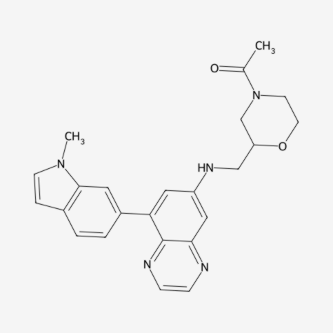 CC(=O)N1CCOC(CNc2cc(-c3ccc4ccn(C)c4c3)c3nccnc3c2)C1